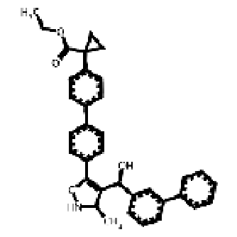 CCOC(=O)C1(c2ccc(-c3ccc(C4=C(C(O)c5cccc(-c6ccccc6)c5)C(C)NO4)cc3)cc2)CC1